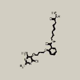 CCc1nc(N)nc(N)c1OCCCOc1ccccc1C(=O)NCCCCCCC(=O)NO